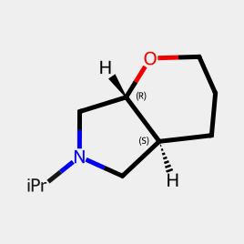 CC(C)N1C[C@@H]2CCCO[C@H]2C1